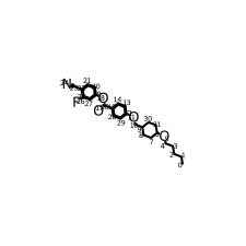 CCCCCOC1CCC(COc2ccc(C(=O)Oc3ccc(C#N)c(F)c3)cc2)CC1